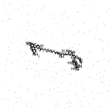 C=C(NCCSSCOCCCCCNC(=O)NCC#Cc1cn([C@H]2CC(OCN=[N+]=[N-])[C@@H](COP(=O)(O)OP(=O)(O)CP(=O)(O)O)O2)c(=O)nc1N)c1ccc(C(=O)O)c(-c2c3ccc(=N)cc-3oc3cc(N)ccc23)c1